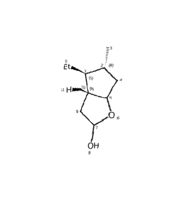 CC[C@H]1[C@H](C)CC2OC(O)C[C@@H]21